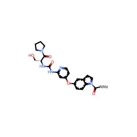 CNC(=O)n1ccc2cc(Oc3ccnc(NC(=O)N[C@H](CO)C(=O)N4CCCC4)c3)ccc21